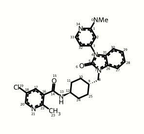 CNc1cc(-n2c(=O)n(C[C@H]3CC[C@H](NC(=O)c4cc(Cl)cnc4C)CC3)c3ccccc32)ccn1